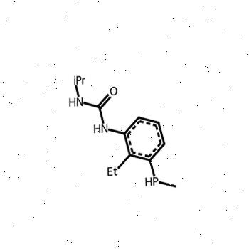 CCc1c(NC(=O)NC(C)C)cccc1PC